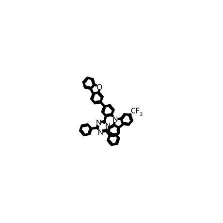 FC(F)(F)c1ccc2c3ccccc3n(-c3ccc(-c4ccc5c(c4)oc4ccccc45)cc3-c3nc(-c4ccccc4)nc(-c4ccccc4)n3)c2c1